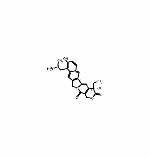 CC[C@@]1(O)C(=O)OCc2c1cc1n(c2=O)Cc2cc3c(CN(C)[11CH3])c(O)ccc3nc2-1